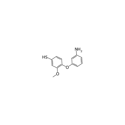 COc1cc(S)ccc1Oc1cccc(N)c1